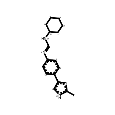 Cc1nc(-c2ccc(/N=C/NC3CCCCC3)cc2)c[nH]1